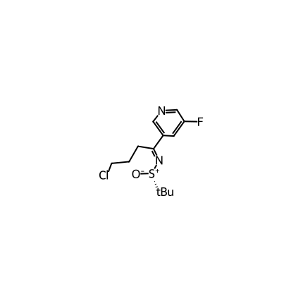 CC(C)(C)[S@+]([O-])N=C(CCCCl)c1cncc(F)c1